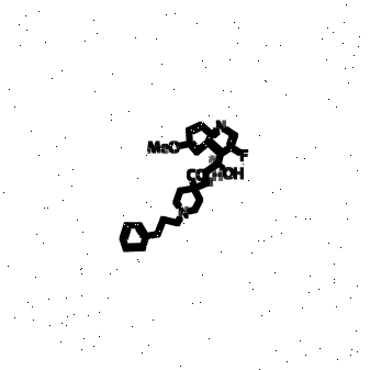 COc1ccc2ncc(F)c([C@@H](O)CCC3(C(=O)O)CCN(CCCc4ccccc4)CC3)c2c1